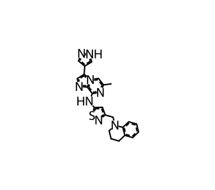 Cc1cn2c(-c3cn[nH]c3)cnc2c(Nc2cc(CN3CCCc4ccccc43)ns2)n1